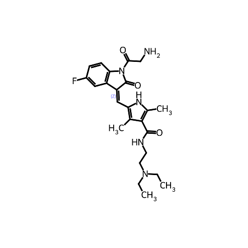 CCN(CC)CCNC(=O)c1c(C)[nH]c(/C=C2\C(=O)N(C(=O)CN)c3ccc(F)cc32)c1C